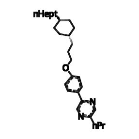 CCCCCCC[C@H]1CC[C@H](CCCOc2ccc(-c3cnc(CCC)cn3)cc2)CC1